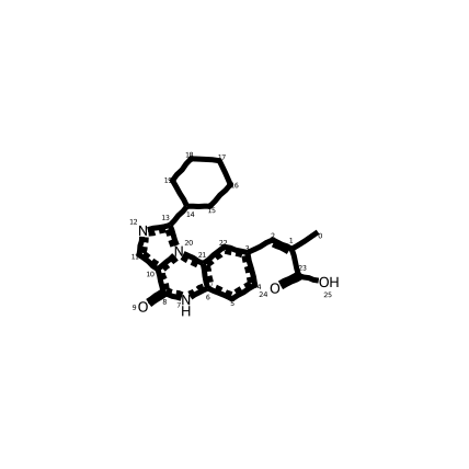 CC(=Cc1ccc2[nH]c(=O)c3cnc(C4CCCCC4)n3c2c1)C(=O)O